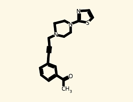 CC(=O)c1cccc(C#CCN2CCN(c3nccs3)CC2)c1